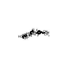 CC(C)(O)CCc1cc(F)c(CNc2nc3nc(O[C@@H]4CO[C@H]5[C@@H]4OC[C@H]5O)[nH]c3cc2Cl)c(F)c1